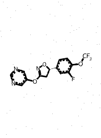 Fc1cc([C@@H]2CC(Oc3cncnc3)=NO2)ccc1OC(F)(F)F